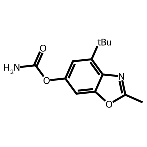 Cc1nc2c(C(C)(C)C)cc(OC(N)=O)cc2o1